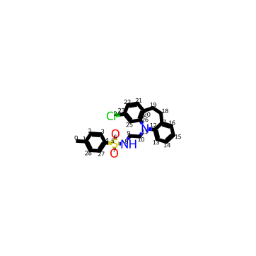 Cc1ccc(S(=O)(=O)NCCN2c3ccccc3CCc3ccc(Cl)cc32)cc1